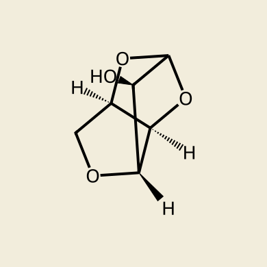 O[C@H]1C2O[C@H]3[C@@H]1OC[C@H]3O2